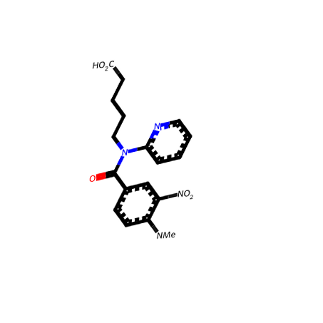 CNc1ccc(C(=O)N(CCCCC(=O)O)c2ccccn2)cc1[N+](=O)[O-]